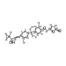 CCC(CC)(c1ccc(C#CC(O)C2(C)CC2)c(C)c1)c1ccc(OCC2=CCC(=O)O2)c(C)c1